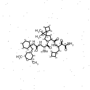 C[C@@H]1CN(CC2(NC(=O)N[C@H](C(=O)N3CC4(CC3C(=O)NC(CC3CCC3)C(=O)C(N)=O)C(C)(C)C43CCC3)C(C)(C)C)CCCCC2)C[C@H](C)O1